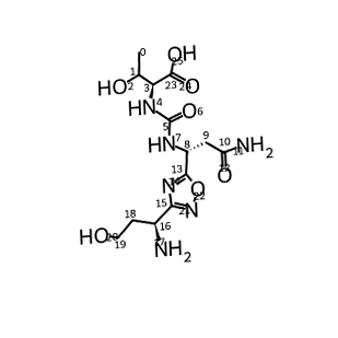 CC(O)[C@H](NC(=O)N[C@H](CC(N)=O)c1nc([C@@H](N)CCO)no1)C(=O)O